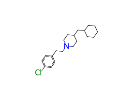 Clc1ccc(CCN2CCC(CC3CCCCC3)CC2)cc1